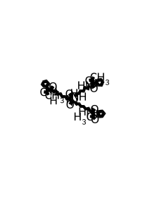 CC(=O)N(C(=O)NCCCCCCNC(=O)N(CCCCCCNC(=O)N(C(C)=O)c1ccccc1)C(=O)NCCCCCCNC(=O)N(C(C)=O)c1ccccc1)c1ccccc1